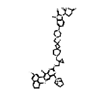 CCc1cccc2cc(O)cc(-c3ncc4c(N5CC6CCC(C5)N6)nc(OCC5(CN6CCC7(CC6)CC(F)(CN6CCN(c8ccc9c(c8)n(C)c(=O)n9C8CCC(=O)NC8=O)CC6)C7)CC5)nc4c3F)c12